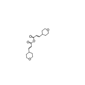 O=C(/C=C/C1CCOCC1)OC(=O)/C=C/C1CCOCC1